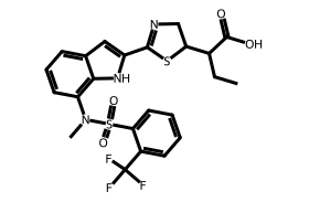 CCC(C(=O)O)C1CN=C(c2cc3cccc(N(C)S(=O)(=O)c4ccccc4C(F)(F)F)c3[nH]2)S1